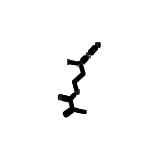 C=C(C)C(=O)OCC[N+](I)=C=O